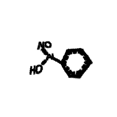 O=[N][Al]([OH])[c]1ccccc1